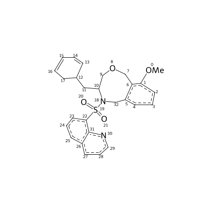 COc1cccc2c1COCC(CC1C=CC=CC1)N(S(=O)(=O)c1cccc3cccnc13)C2